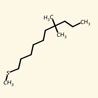 CCCC(C)(C)CCCCCCSC